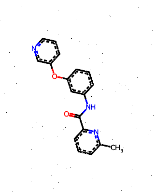 Cc1cccc(C(=O)Nc2cccc(Oc3cccnc3)c2)n1